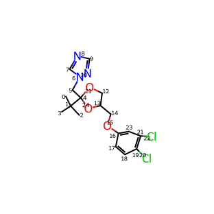 CC(C)(C)C1(Cn2cncn2)OCC(COc2ccc(Cl)c(Cl)c2)O1